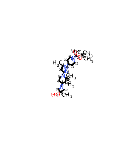 Cc1cc(N2CCC(N3CC(C)(O)C3)CC2(C)C)nn1C1CCN(C(=O)OC(C)(C)C)CC1